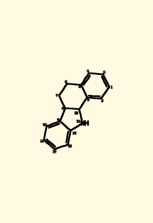 c1ccc2c(c1)CCC1c3ccccc3NC21